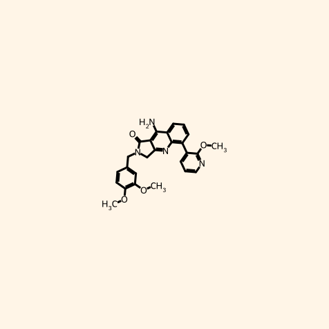 COc1ccc(CN2Cc3nc4c(-c5cccnc5OC)cccc4c(N)c3C2=O)cc1OC